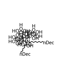 CCCCCCCCCCCCCCCCCC(=O)N[C@@H](COP(=O)(O)O[C@H]1C(O)C(O)C(O)[C@@H](O)C1O[C@H]1O[C@H](COP(=O)(O)OC2C(O)C(O)C(O)[C@@H](O)C2O)[C@@H](O)C(O)C1O)[C@H](O)[C@H](O)CCCCCCCCCCCCCC